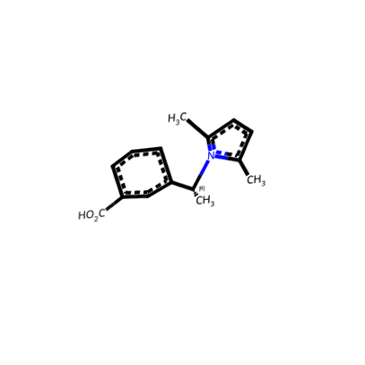 Cc1ccc(C)n1[C@H](C)c1cccc(C(=O)O)c1